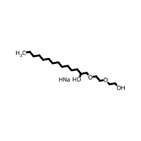 CCCCCCCCCCCCC(O)COCCOCCO.[NaH]